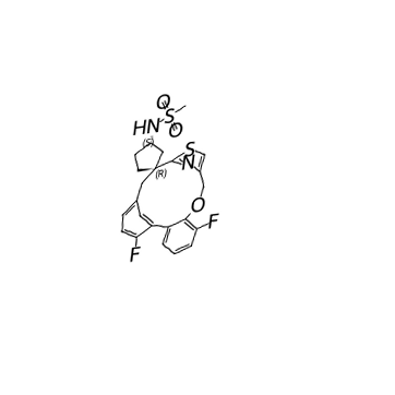 CS(=O)(=O)N[C@H]1CC[C@@]2(Cc3ccc(F)c(c3)-c3cccc(F)c3OCc3csc2n3)C1